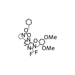 COc1ccc(Cn2c(C(F)F)nc3sc([C@H]4CCCN4C(=O)OCc4ccccc4)nc3c2=O)c(OC)c1